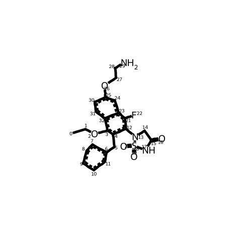 CCOc1c(Cc2ccccc2)c(N2CC(=O)NS2(=O)=O)c(F)c2cc(OCCN)ccc12